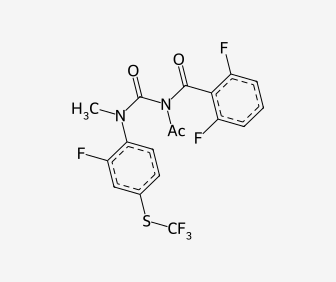 CC(=O)N(C(=O)c1c(F)cccc1F)C(=O)N(C)c1ccc(SC(F)(F)F)cc1F